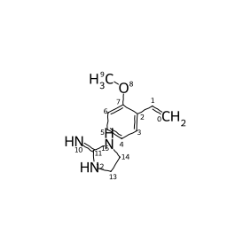 C=Cc1ccccc1OC.N=C1NCCN1